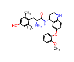 COc1ccccc1Oc1ccc2c(c1)[C@H](NC(=O)[C@@H](N)Cc1c(C)cc(O)cc1C)CCN2